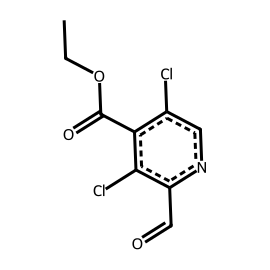 CCOC(=O)c1c(Cl)cnc(C=O)c1Cl